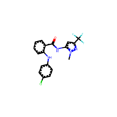 Cn1nc(C(F)(F)F)cc1NC(=O)c1ccccc1Nc1ccc(Cl)cc1